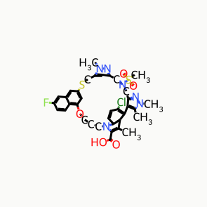 CC1=C(C(=O)O)N2CCCOc3cc(cc4cc(F)ccc34)SCc3cc(nn3C)CN(S(C)(=O)=O)Cc3nn(C)c(C)c3C3=C(Cl)C=CC2C13